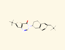 CC(C)(C)Cc1ccc2c(c1)CCC(n1cnc3cc(C(C)(C)C)sc3c1=O)C2